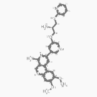 COc1cc2ncc3c(N)nc(-c4cncc(OC[C@@H](N)CSc5ccccn5)c4)cc3c2cc1OC